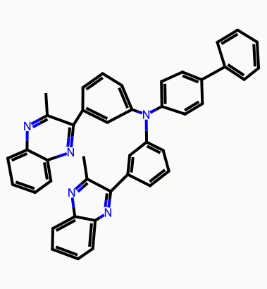 Cc1nc2ccccc2nc1-c1cccc(N(c2ccc(-c3ccccc3)cc2)c2cccc(-c3nc4ccccc4nc3C)c2)c1